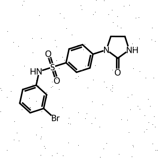 O=C1NCCN1c1ccc(S(=O)(=O)Nc2cccc(Br)c2)cc1